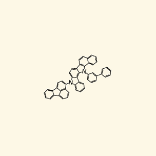 c1ccc(-c2cccc(-n3c4c5ccccc5ccc4c4ccc5c(c6ccccc6n5-c5ccc6c7c(cccc57)-c5ccccc5-6)c43)c2)cc1